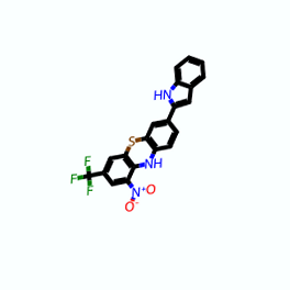 O=[N+]([O-])c1cc(C(F)(F)F)cc2c1Nc1ccc(-c3cc4ccccc4[nH]3)cc1S2